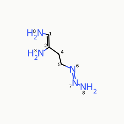 N/C=C(\N)CCN=NN